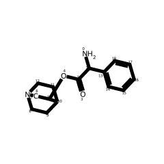 NC(C(=O)OC1CN2CCC1CC2)c1ccccc1